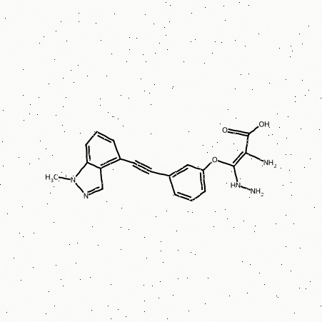 Cn1ncc2c(C#Cc3cccc(O/C(NN)=C(/N)C(=O)O)c3)cccc21